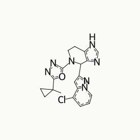 CC1(c2nnc(N3CCc4[nH]cnc4C3c3cc4c(Cl)cccn4n3)o2)CC1